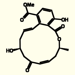 COC(=O)c1ccc(O)c2c1/C=C/C[C@H](O)CC(=O)/C=C\C[C@H](C)OC2=O